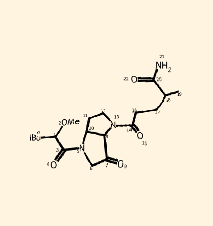 CCC(C)C(OC)C(=O)N1CC(=O)C2C1CCN2C(=O)[CH]CC(C)C(N)=O